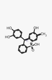 C=c1cc/c(=C(/c2ccc(O)c(O)c2)c2ccccc2S(=O)(=O)O)cc1O